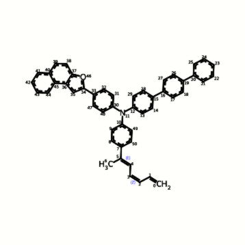 C=C/C=C\C=C(/C)c1ccc(N(c2ccc(-c3ccc(-c4ccccc4)cc3)cc2)c2ccc(-c3cc4c(ccc5ccccc54)o3)cc2)cc1